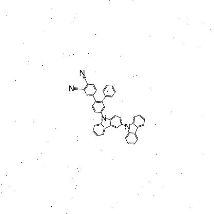 N#Cc1ccc(-c2ccc(-n3c4ccccc4c4cc(-n5c6ccccc6c6ccccc65)ccc43)cc2-c2ccccc2)cc1C#N